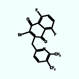 CCC1=C(Cc2ccc(C(F)(F)F)c(C)n2)C(=O)c2c(F)ccc(F)c2C1=O